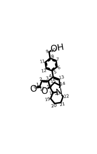 O=C1C=C2C(c3ccc(CO)cc3)=CC3CC2(O1)C1CCCCN31